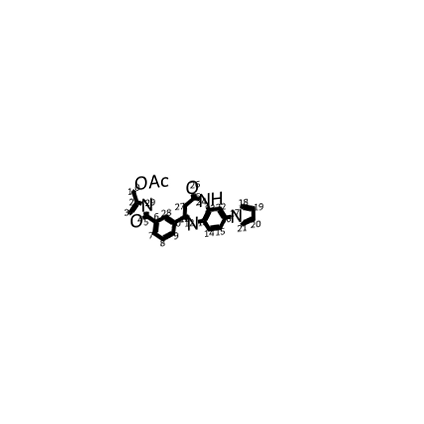 CC(=O)OCc1coc(-c2cccc(C3=Nc4ccc(-n5cccc5)cc4NC(=O)C3)c2)n1